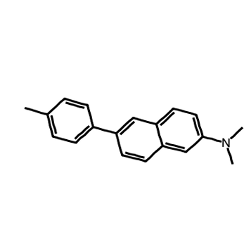 Cc1ccc(-c2ccc3cc(N(C)C)ccc3c2)cc1